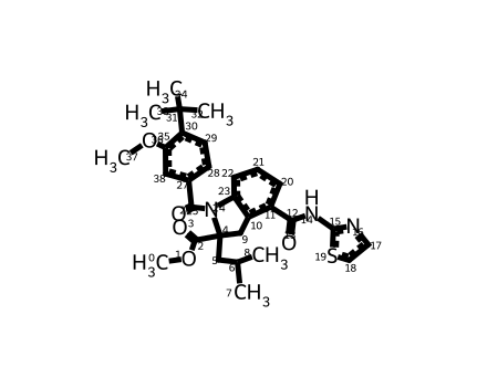 COC(=O)C1(CC(C)C)Cc2c(C(=O)Nc3nccs3)cccc2N1C(=O)c1ccc(C(C)(C)C)c(OC)c1